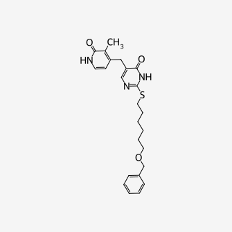 Cc1c(Cc2cnc(SCCCCCCOCc3ccccc3)[nH]c2=O)cc[nH]c1=O